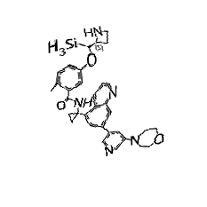 Cc1ccc(OC([SiH3])[C@@H]2CCN2)cc1C(=O)NC1(c2cc(-c3cncc(N4CCOCC4)c3)cc3ncccc23)CC1